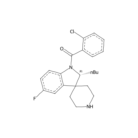 CCCC[C@H]1N(C(=O)c2ccccc2Cl)c2ccc(F)cc2C12CCNCC2